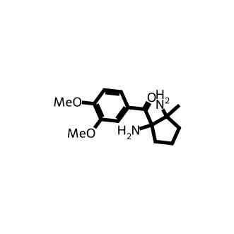 COc1ccc(C(=O)C2(N)CCCC2(C)N)cc1OC